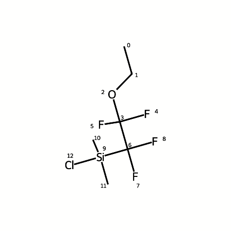 CCOC(F)(F)C(F)(F)[Si](C)(C)Cl